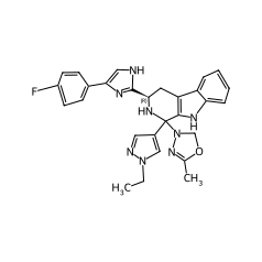 CCn1cc(C2(N3COC(C)=N3)N[C@@H](c3nc(-c4ccc(F)cc4)c[nH]3)Cc3c2[nH]c2ccccc32)cn1